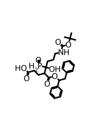 CC(C)(C)OC(=O)NCCCC(O)([PH2]=O)C(CCC(=O)O)C(=O)OC(Cc1ccccc1)c1ccccc1